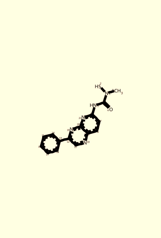 CN(S)C(=O)Nc1ccc2ncc(-c3ccccc3)nc2n1